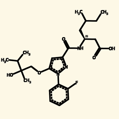 CCC(C)C[C@@H](CC(=O)O)NC(=O)c1cc(OCC(C)(O)C(C)C)n(-c2ccccc2F)n1